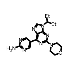 CCC(CC)n1cnc2c(-c3cnc(N)nc3)nc(N3CCOCC3)nc21